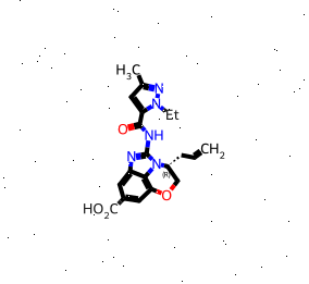 C=CC[C@@H]1COc2cc(C(=O)O)cc3nc(NC(=O)c4cc(C)nn4CC)n1c23